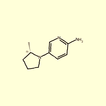 C[C@H]1CCCN1c1ccc(N)nc1